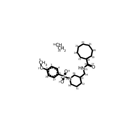 COc1ccc(S(=O)(=O)N2CCCC(CNC(=O)[C]3CCCCCCC3)C2)cc1.[CH2].[CH2]